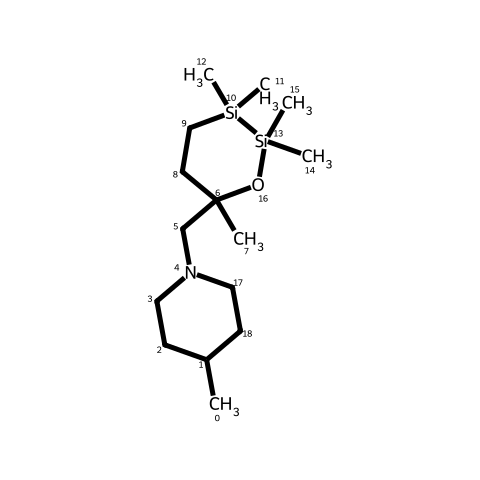 CC1CCN(CC2(C)CC[Si](C)(C)[Si](C)(C)O2)CC1